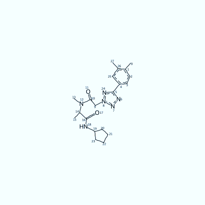 Cc1ccc(-c2nnn(CC(=O)N(C)C(C)C(=O)NC3CCCC3)n2)cc1C